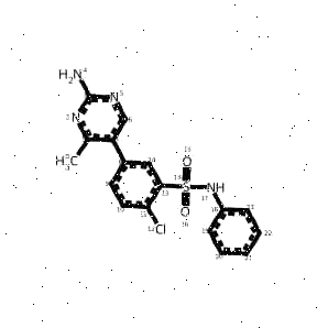 Cc1nc(N)ncc1-c1ccc(Cl)c(S(=O)(=O)Nc2ccccc2)c1